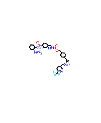 Nc1ccccc1NC(=O)c1ccc(CNC(=O)OCc2ccc(C3C[C@@H]3NCc3ccc(C(F)(F)F)nc3)cc2)cc1